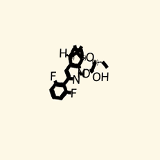 CC[C@@H](O[C@]12CC[C@@H](c3cc(-c4c(F)cccc4F)nnc31)C2(C)C)C(=O)O